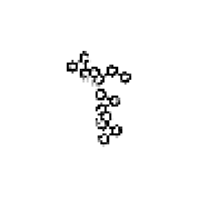 c1ccc(-c2cccc(-c3cc(-c4cccc(-c5ccccc5-c5ccnc6c5ccc5c(-c7ccccc7-c7ccccc7)ccnc56)c4)nc4c3ccc3c(-c5ccccc5-c5ccccc5)ccnc34)c2)cc1